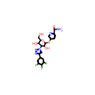 NC(=O)c1ccc(SC2OC(CO)C(O)C(n3cc(-c4cc(F)c(F)c(F)c4)nn3)C2O)cn1